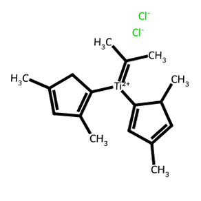 CC1=CC(C)[C]([Ti+2]([C]2=C(C)C=C(C)C2)=[C](C)C)=C1.[Cl-].[Cl-]